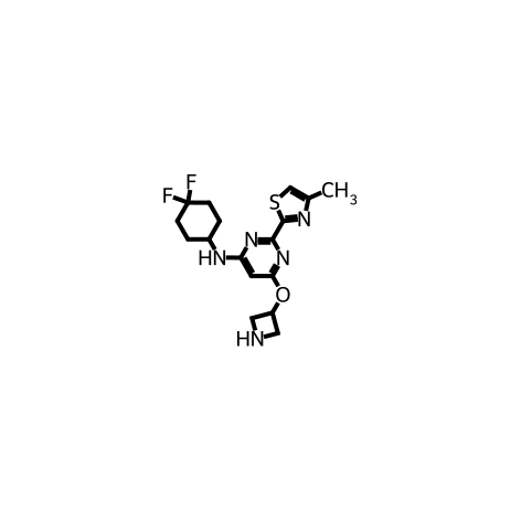 Cc1csc(-c2nc(NC3CCC(F)(F)CC3)cc(OC3CNC3)n2)n1